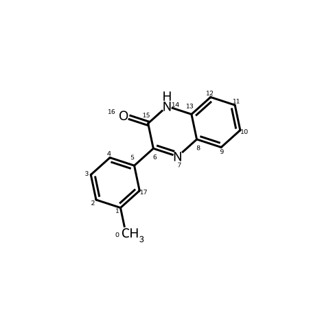 Cc1cccc(-c2nc3ccccc3[nH]c2=O)c1